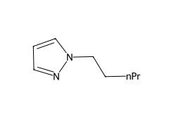 [CH2]CCCCn1cccn1